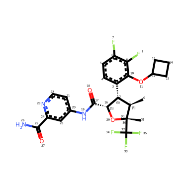 C[C@@H]1[C@@H](c2ccc(F)c(F)c2OC2CCC2)[C@@H](C(=O)Nc2ccnc(C(N)=O)c2)O[C@@]1(C)C(F)(F)F